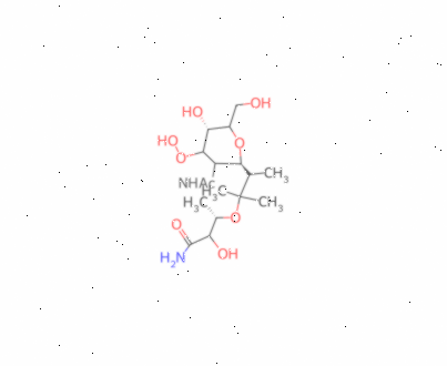 CC(=O)NC1C(OO)[C@H](O)C(CO)O[C@H]1C(C)C(C)(C)O[C@@H](C)C(O)C(N)=O